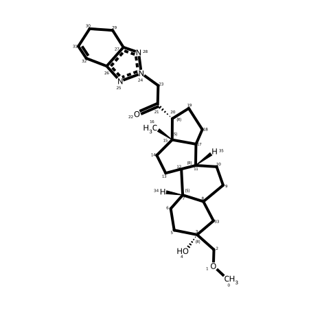 COC[C@@]1(O)CC[C@H]2C(CC[C@@H]3C2CC[C@@]2(C)C3CC[C@H]2C(=O)Cn2nc3c(n2)CCC=C3)C1